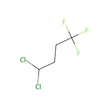 FC(F)(F)CCC(Cl)Cl